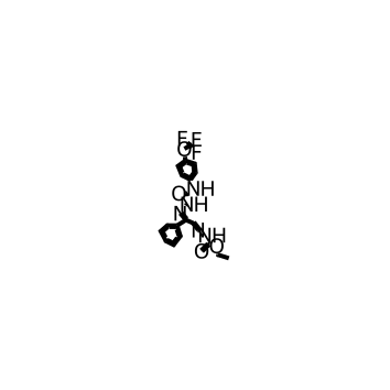 CCOC(=O)NN=CC(=NNC(=O)Nc1ccc(OC(F)(F)F)cc1)c1ccccc1